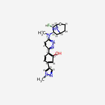 CN(c1ccc(-c2ccc(-c3cnn(C)c3)cc2O)nn1)[C@@H]1CC2CCCC(N2)[C@@H]1F